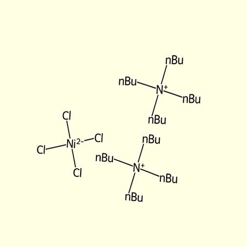 CCCC[N+](CCCC)(CCCC)CCCC.CCCC[N+](CCCC)(CCCC)CCCC.[Cl][Ni-2]([Cl])([Cl])[Cl]